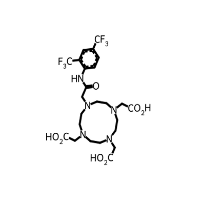 O=C(O)CN1CCN(CC(=O)O)CCN(CC(=O)Nc2ccc(C(F)(F)F)cc2C(F)(F)F)CCN(CC(=O)O)CC1